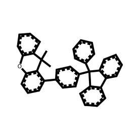 CC1(C)c2ccccc2Oc2cccc(-c3ccc(C4(c5ccccc5)c5ccccc5-c5ccccc54)cc3)c21